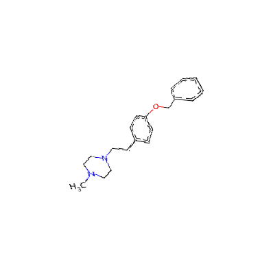 CN1CCN(C[CH]c2ccc(OCc3ccccc3)cc2)CC1